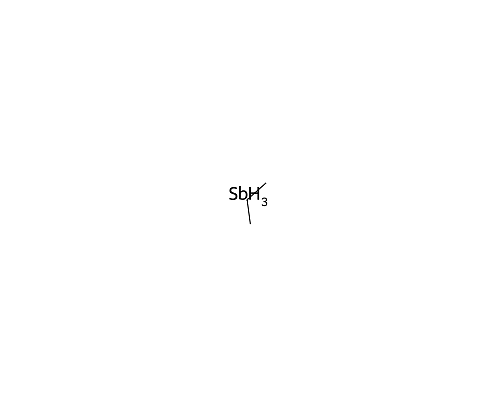 CCC.[SbH3]